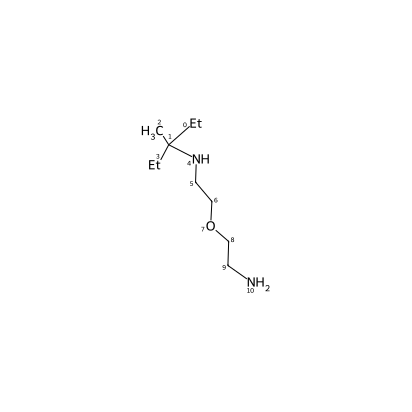 CCC(C)(CC)NCCOCCN